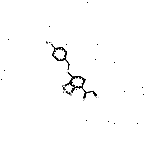 Cc1ccc(CSc2ccc(C(=O)C=O)c3nonc23)cc1